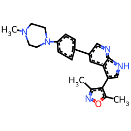 Cc1noc(C)c1-c1c[nH]c2ncc(-c3ccc(N4CCN(C)CC4)cc3)cc12